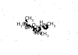 CCCN(C)C(=O)CNC(=O)c1cnn2c(NC)cc(Nc3cccc(C)n3)nc12